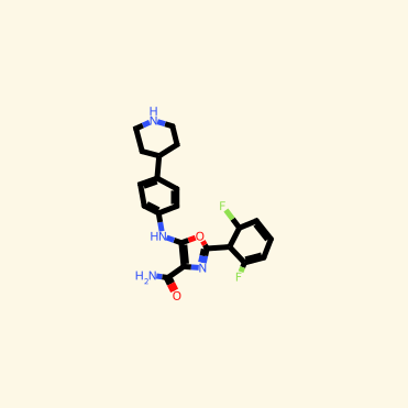 NC(=O)c1nc(C2C(F)=CC=CC2F)oc1Nc1ccc(C2CCNCC2)cc1